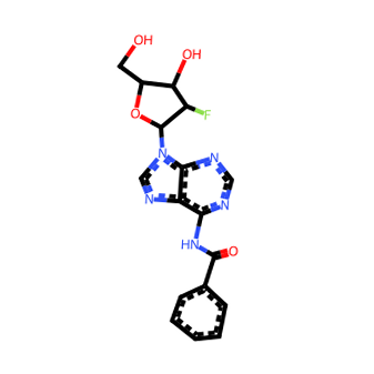 O=C(Nc1ncnc2c1ncn2C1OC(CO)C(O)C1F)c1ccccc1